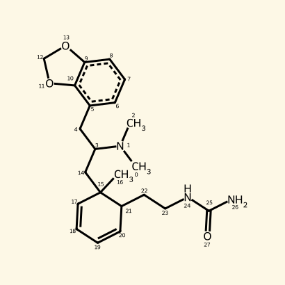 CN(C)C(Cc1cccc2c1OCO2)CC1(C)C=CC=CC1CCNC(N)=O